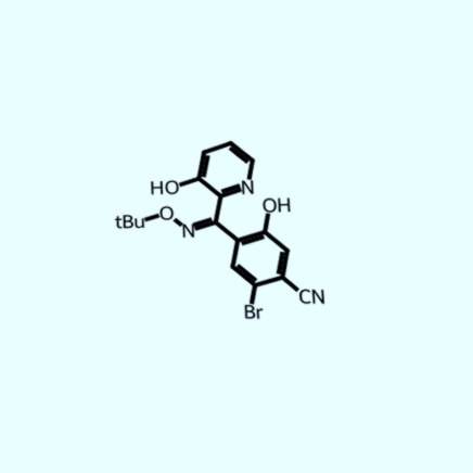 CC(C)(C)ON=C(c1cc(Br)c(C#N)cc1O)c1ncccc1O